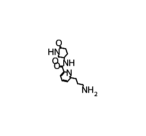 NCCCc1cccc(C(=O)NC2CCC(=O)NC2=O)n1